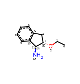 CCO[C@H]1Cc2ccccc2[C@@H]1N